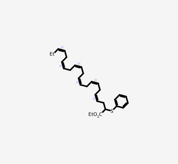 CC/C=C\C/C=C\C/C=C\C/C=C\C/C=C\C/C=C\CC(Sc1ccccc1)C(=O)OCC